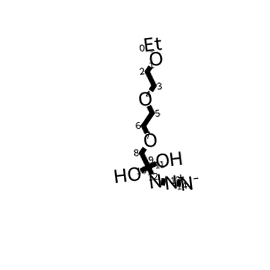 CCOCCOCCOCC(O)(O)N=[N+]=[N-]